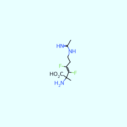 CC(=N)NCC/C(F)=C(\F)C(C)(N)C(=O)O